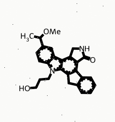 COC(C)c1ccc2c(c1)c1c3c(c4c(c1n2CCCO)Cc1ccccc1-4)C(=O)NC3